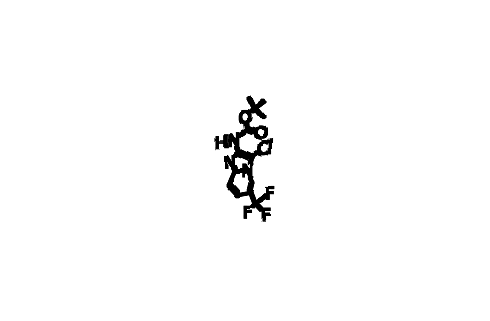 CC(C)(C)OC(=O)Nc1nc2ccc(C(F)(F)F)cn2c1Cl